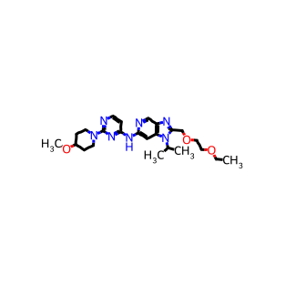 CCOCCOCc1nc2cnc(Nc3ccnc(N4CCC(OC)CC4)n3)cc2n1C(C)C